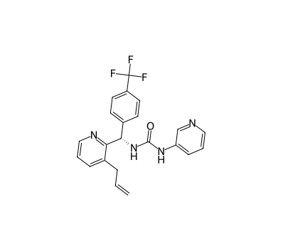 C=CCc1cccnc1[C@@H](NC(=O)Nc1cccnc1)c1ccc(C(F)(F)F)cc1